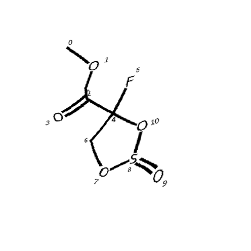 COC(=O)C1(F)COS(=O)O1